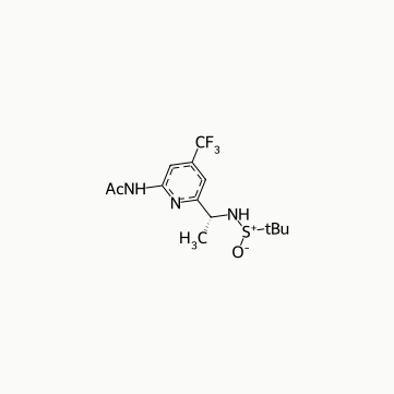 CC(=O)Nc1cc(C(F)(F)F)cc([C@@H](C)N[S+]([O-])C(C)(C)C)n1